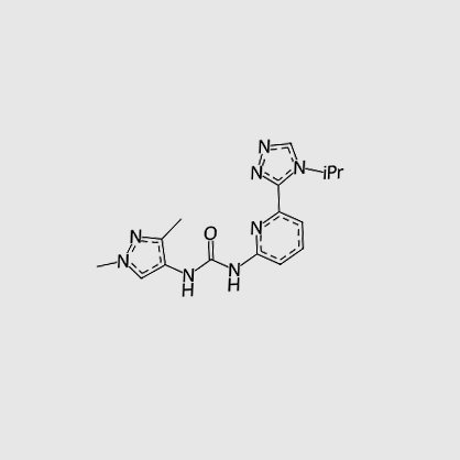 Cc1nn(C)cc1NC(=O)Nc1cccc(-c2nncn2C(C)C)n1